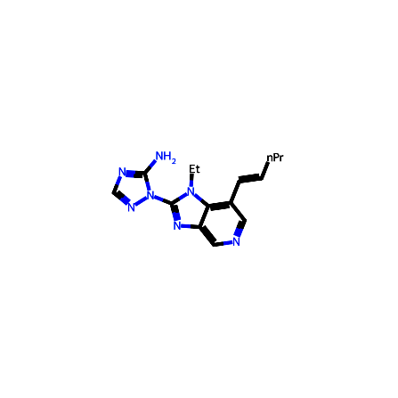 CCC/C=C/c1cncc2nc(-n3ncnc3N)n(CC)c12